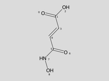 O=C(O)/C=C/C(=O)NO